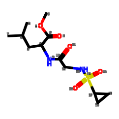 COC(=O)C(CC(C)C)NC(=O)CNS(=O)(=O)C1CC1